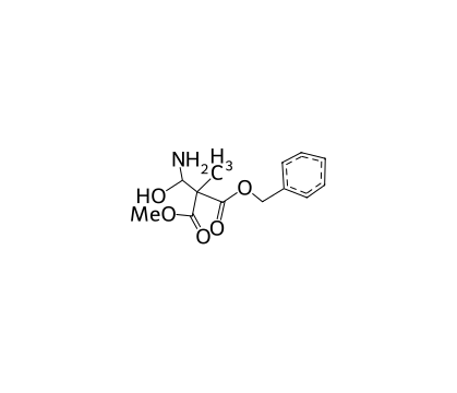 COC(=O)C(C)(C(=O)OCc1ccccc1)C(N)O